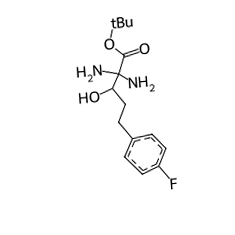 CC(C)(C)OC(=O)C(N)(N)C(O)CCc1ccc(F)cc1